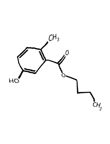 CCCCOC(=O)c1cc(O)ccc1C